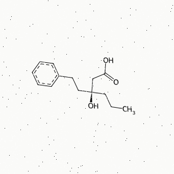 CCC[C@](O)(CCc1ccccc1)CC(=O)O